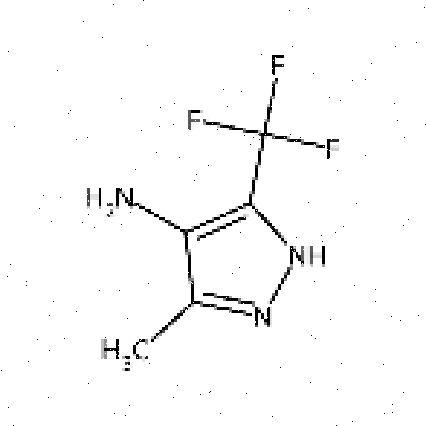 Cc1n[nH]c(C(F)(F)F)c1N